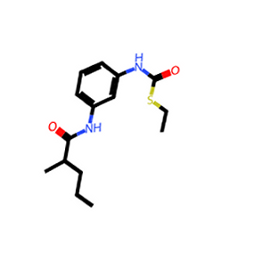 CCCC(C)C(=O)Nc1cccc(NC(=O)SCC)c1